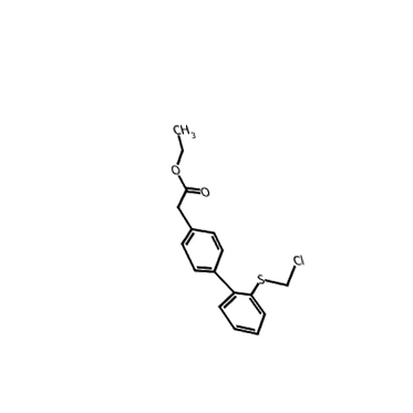 CCOC(=O)Cc1ccc(-c2ccccc2SCCl)cc1